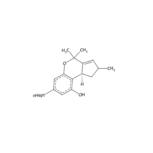 CCCCCCCc1cc(O)c2c(c1)OC(C)(C)C1=CC(C)C[C@H]12